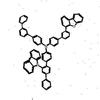 c1ccc(-c2cccc(-c3ccc(N(c4ccc(-c5cccc(-c6cccc7c6oc6ccccc67)c5)cc4)c4ccc(-c5ccc(-c6ccccc6)cc5-n5c6ccccc6c6ccccc65)cc4)cc3)c2)cc1